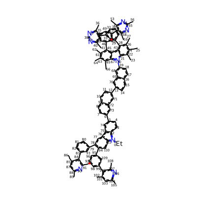 CCn1c2ccc(-c3ccc4ccc(-c5ccc6ccc(-n7c8c(C)c(C)c(C)c(-c9cccc(-c%10c(C)ncnc%10C)c9)c8c8c(-c9cccc(-c%10c(C)nc(C)nc%10C)c9)c(C)c(C)c(C)c87)cc6c5)cc4c3)cc2c2cc(-c3cccc(-c4c(C)cc(C)nc4C)c3)c(-c3cccc(-c4c(C)cc(C)nc4C)c3)cc21